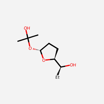 CC[C@H](O)[C@@H]1CC[C@@H](OC(C)(C)O)O1